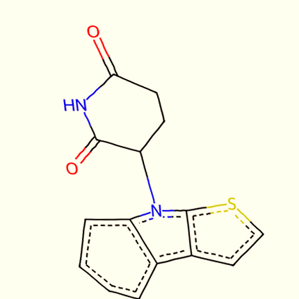 O=C1CCC(n2c3ccccc3c3ccsc32)C(=O)N1